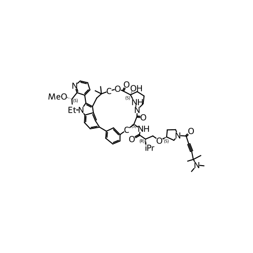 CCn1c(-c2cccnc2[C@H](C)OC)c2c3cc(ccc31)-c1cccc(c1)C[C@H](NC(=O)[C@@H](CO[C@H]1CCN(C(=O)C#CC(C)(C)N(C)C)C1)C(C)C)C(=O)N1CCC[C@@](O)(N1)C(=O)OCC(C)(C)C2